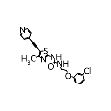 Cc1nc(NC(=O)NCCOc2cccc(Cl)c2)sc1C#Cc1ccncc1